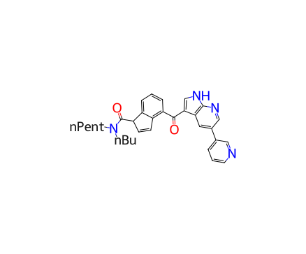 CCCCCN(CCCC)C(=O)C1C=Cc2c(C(=O)c3c[nH]c4ncc(-c5cccnc5)cc34)cccc21